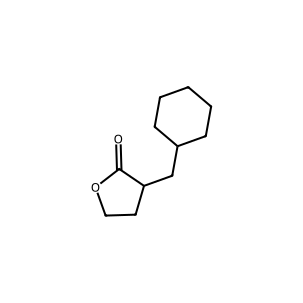 O=C1OCCC1CC1CCCCC1